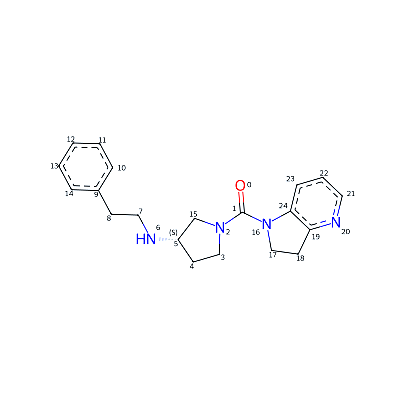 O=C(N1CC[C@H](NCCc2ccccc2)C1)N1CCc2ncccc21